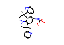 COC(=O)Nc1cc2c3c(c1)C(C)(c1ccccn1)CCN3CCC2(C)c1ccccn1